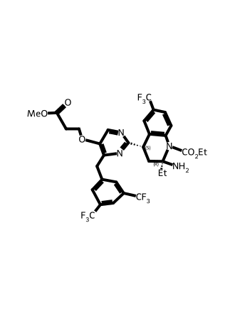 CCOC(=O)N1c2ccc(C(F)(F)F)cc2[C@@H](c2ncc(OCCC(=O)OC)c(Cc3cc(C(F)(F)F)cc(C(F)(F)F)c3)n2)C[C@@]1(N)CC